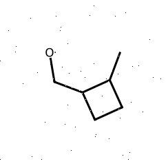 CC1CCC1C[O]